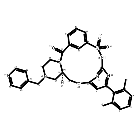 Cc1cccc(C)c1-c1cc2nc(n1)NS(=O)(=O)c1cccc(c1)C(=O)N1CCN(Cc3ccncc3)C[C@@H]1CO2